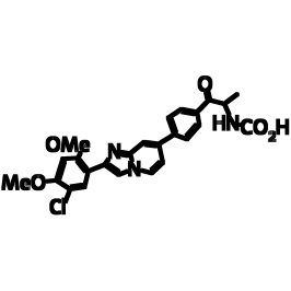 COc1cc(OC)c(-c2cn3ccc(-c4ccc(C(=O)C(C)NC(=O)O)cc4)cc3n2)cc1Cl